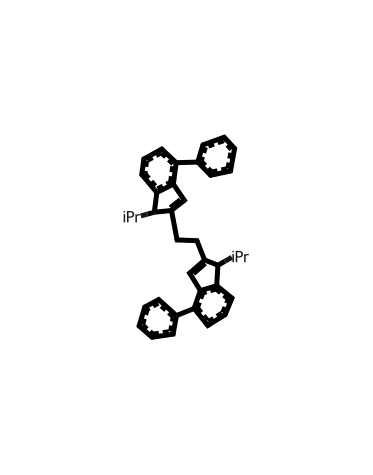 CC(C)C1C(CCC2=Cc3c(-c4ccccc4)cccc3C2C(C)C)=Cc2c(-c3ccccc3)cccc21